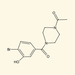 CC(=O)N1CCN(C(=O)c2ccc(Br)c(O)c2)CC1